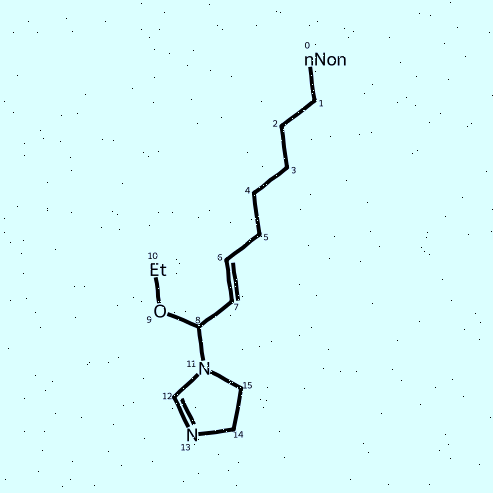 CCCCCCCCCCCCCCC=CC(OCC)N1C=NCC1